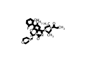 C=CC(=O)N1C[C@H](C)N(c2nc(=O)n3c4c(c(-c5c(O)cccc5F)c(C)cc24)OC[C@H]3CN2CCOCC2)C[C@H]1C